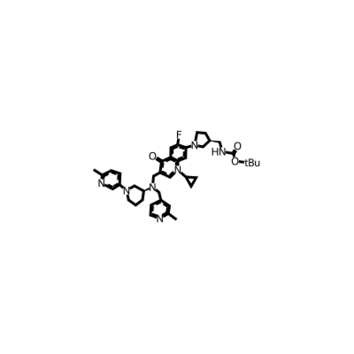 Cc1ccc(N2CCC[C@H](N(Cc3ccnc(C)c3)Cc3cn(C4CC4)c4cc(N5CC[C@@H](CNC(=O)OC(C)(C)C)C5)c(F)cc4c3=O)C2)cn1